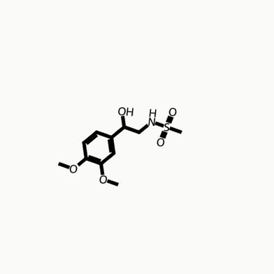 COc1ccc(C(O)CNS(C)(=O)=O)cc1OC